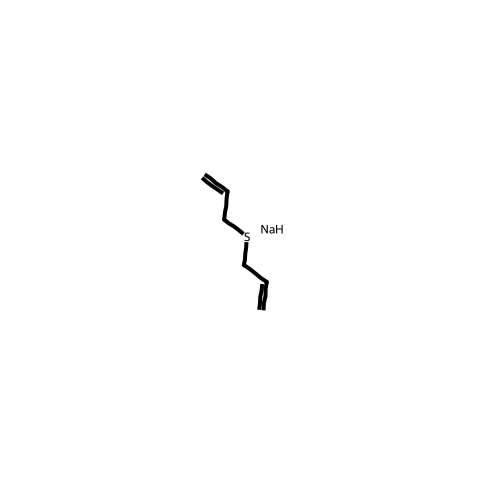 C=CCSCC=C.[NaH]